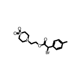 Cc1ccc(C(Br)C(=O)OCCN2CCS(=O)(=O)CC2)cc1